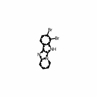 Brc1ccc2c([nH]c3c2nc2ccccn23)c1Br